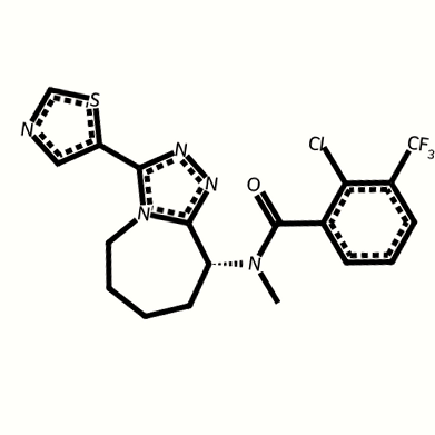 CN(C(=O)c1cccc(C(F)(F)F)c1Cl)[C@@H]1CCCCn2c(-c3cncs3)nnc21